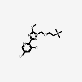 CSc1nc(-c2ncc(Br)cc2Cl)nn1COCC[Si](C)(C)C